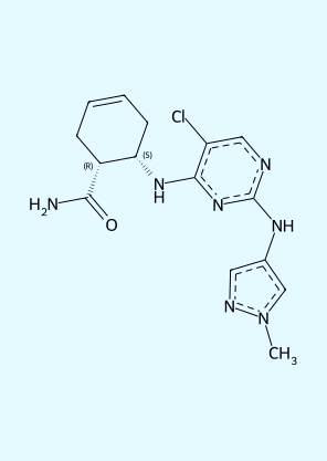 Cn1cc(Nc2ncc(Cl)c(N[C@H]3CC=CC[C@H]3C(N)=O)n2)cn1